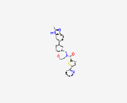 Cc1nc2ccc(-c3ccc4c(c3)CN(C(=O)c3ccc(-c5ccccn5)s3)CCO4)cc2[nH]1